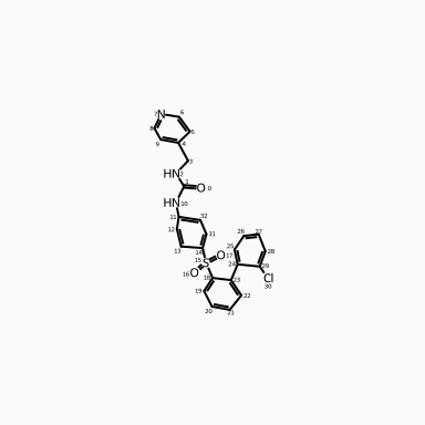 O=C(NCc1ccncc1)Nc1ccc(S(=O)(=O)c2ccccc2-c2ccccc2Cl)cc1